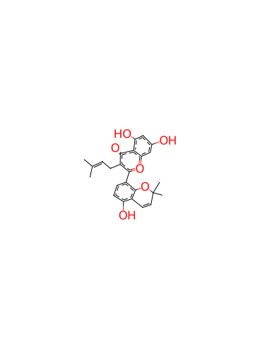 CC(C)=CCc1c(-c2ccc(O)c3c2OC(C)(C)C=C3)oc2cc(O)cc(O)c2c1=O